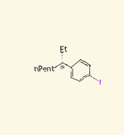 [CH2]C[C@@H](CCCCC)c1ccc(I)cc1